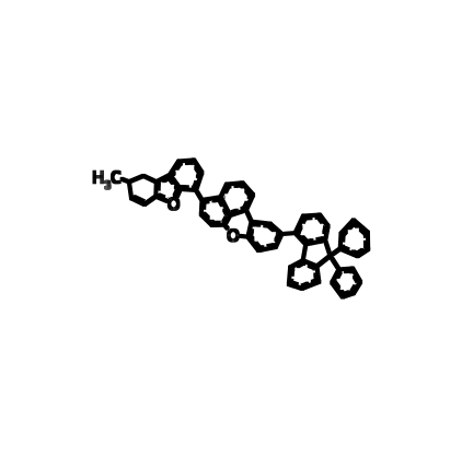 CC1C=Cc2oc3c(-c4ccc5c6c(cccc46)-c4cc(-c6cccc7c6-c6ccccc6C7(c6ccccc6)c6ccccc6)ccc4O5)cccc3c2C1